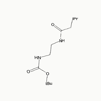 CC(C)CC(=O)NCCNC(=O)OC(C)(C)C